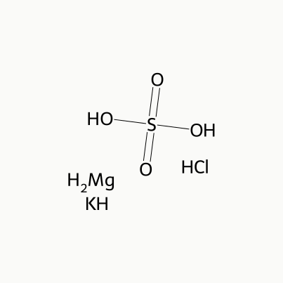 Cl.O=S(=O)(O)O.[KH].[MgH2]